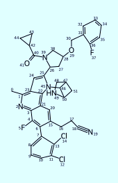 Cc1nc2c(F)c(-c3cccc(Cl)c3Cl)c(CCC#N)cc2c2c1cc(C1CC(OCc3ccccc3F)CN1C(=O)C1CC1)n2C1C2CNC1C2